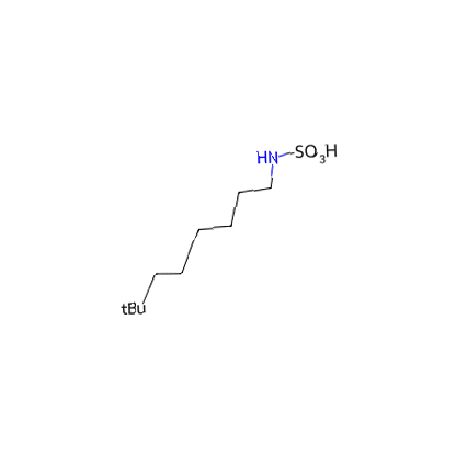 CC(C)(C)CCCCCCNS(=O)(=O)O